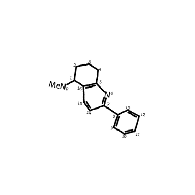 CNC1CCCc2nc(-c3ccccc3)ccc21